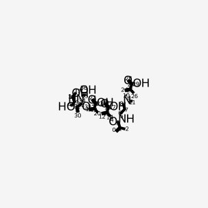 C=C(C)C(=O)NCCCN(C)C.C=C(C)C(=O)O.C=C(C)C(=O)O.C=C(C)C(=O)O.C=CC(=O)NCO.OCCO